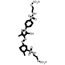 Cc1ccc(/N=N/c2c(C)nn(-c3ccc(S(=O)(=O)NCCOS(=O)(=O)O)cc3)c2O)cc1S(=O)(=O)NCCOS(=O)(=O)O